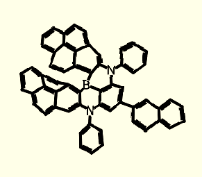 c1ccc(N2c3cc(-c4ccc5ccccc5c4)cc4c3B(c3c2cc2ccc5cccc6ccc3c2c56)c2c(cc3ccc5cccc6ccc2c3c56)N4c2ccccc2)cc1